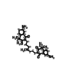 CN(CCCN1C(=O)c2cc(N)ccc2C(C)(C)C1=O)CCCN1C(=O)c2cc(N)ccc2C(C)(C)C1=O